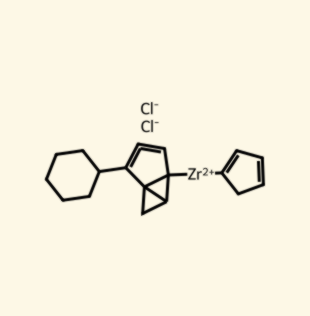 C1=C[C]2([Zr+2][C]3=CC=CC3)C3CC32C=1C1CCCCC1.[Cl-].[Cl-]